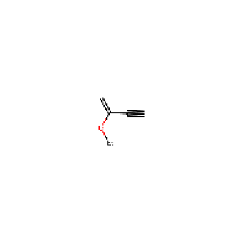 C#CC(=C)OCC